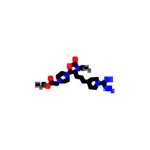 COC(=O)CN1CCN(C2OC(=O)N(C)C2CCCC2CCN(C(=N)N)CC2)CC1